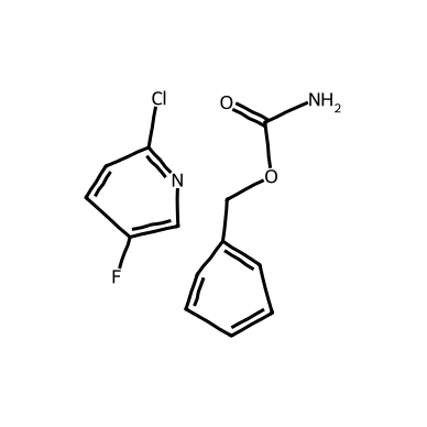 Fc1ccc(Cl)nc1.NC(=O)OCc1ccccc1